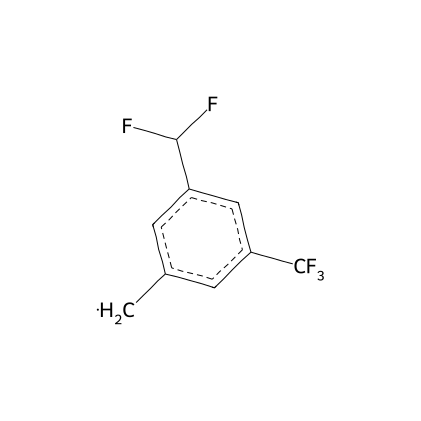 [CH2]c1cc(C(F)F)cc(C(F)(F)F)c1